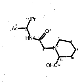 CC(=O)C(NC(=O)CN1CCCCC1C=O)C(C)C